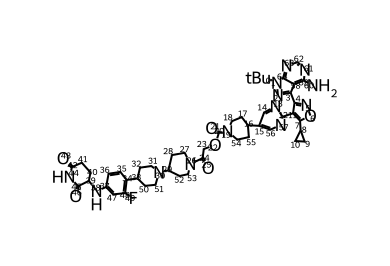 CC(C)(C)n1nc(-c2noc(C3CC3)c2-c2ncc(C3CCN(C(=O)OCC(=O)N4CCC(N5CCC(c6ccc(NC7CCC(=O)NC7=O)cc6F)CC5)CC4)CC3)cn2)c2c(N)ncnc21